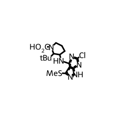 CSc1n[nH]c2nc(Cl)nc(NC3CCCN(C(=O)O)C3C(C)(C)C)c12